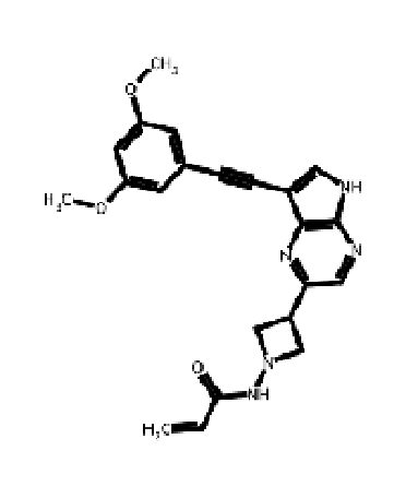 C=CC(=O)NN1CC(c2cnc3[nH]cc(C#Cc4cc(OC)cc(OC)c4)c3n2)C1